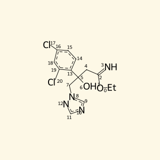 CCOC(=N)CC(O)(Cn1cncn1)c1ccc(Cl)cc1Cl